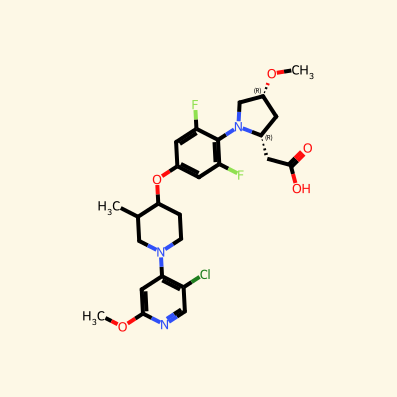 COc1cc(N2CCC(Oc3cc(F)c(N4C[C@H](OC)C[C@@H]4CC(=O)O)c(F)c3)C(C)C2)c(Cl)cn1